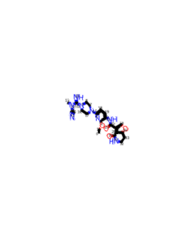 CCOc1nc(N2CCN(C(=N)N(C)C#N)CC2)ccc1NC(=O)c1coc2c1C(=O)NCC2